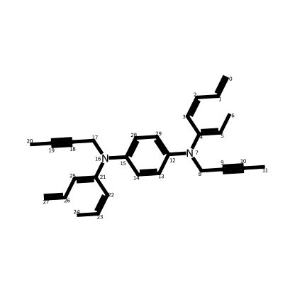 C=C/C=C\C(=C/C)N(CC#CC)c1ccc(N(CC#CC)C(/C=C\C)=C/C=C)cc1